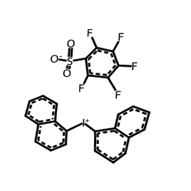 O=S(=O)([O-])c1c(F)c(F)c(F)c(F)c1F.c1ccc2c([I+]c3cccc4ccccc34)cccc2c1